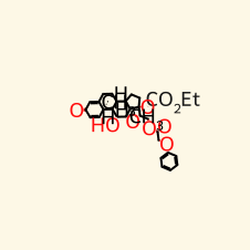 CCOC(=O)O[C@]1(C(=O)COC(=O)COc2ccccc2)CC[C@H]2[C@@H]3CCC4=CC(=O)C=C[C@]4(C)[C@H]3C(O)C[C@@]21C